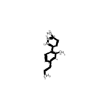 C/C=C/c1ccc(-c2ccc(S)nn2)c(C)c1